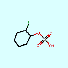 O=S(=O)(O)OC1CCCCC1F